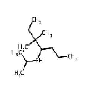 CCCC(PC(C)C)C(C)(C)CC